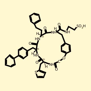 O=C1COc2ccc(cc2)C[C@@H](C(=O)NCCS(=O)(=O)O)NC(=O)[C@H](CCc2ccccc2)NC(=O)[C@@H](Cc2ccc(-c3ccccc3)cc2)NC(=O)[C@H](Cc2cccs2)N1